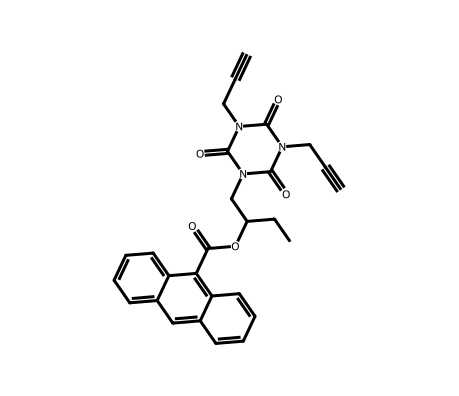 C#CCn1c(=O)n(CC#C)c(=O)n(CC(CC)OC(=O)c2c3ccccc3cc3ccccc23)c1=O